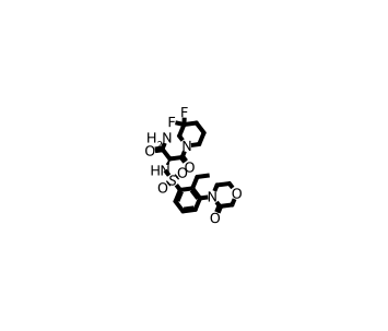 CCc1c(N2CCOCC2=O)cccc1S(=O)(=O)N[C@@H](C(N)=O)C(=O)N1CCCC(F)(F)C1